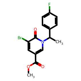 COC(=O)c1cc(Br)c(=O)n(C(C)c2ccc(F)cc2)c1